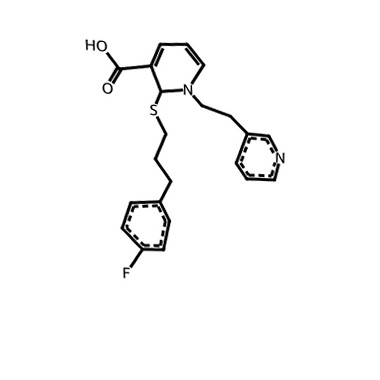 O=C(O)C1=CC=CN(CCc2cccnc2)C1SCCCc1ccc(F)cc1